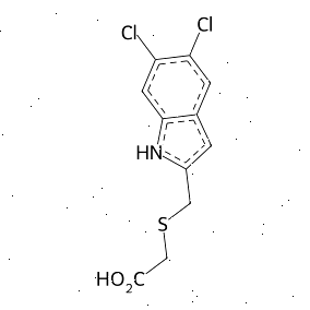 O=C(O)CSCc1cc2cc(Cl)c(Cl)cc2[nH]1